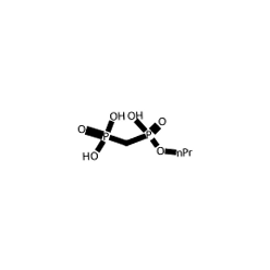 CCCOP(=O)(O)CP(=O)(O)O